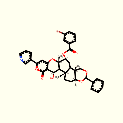 C[C@]12CC[C@@H]3OC(c4ccccc4)OC[C@@]3(C)C1C[C@H](OC(=O)c1cccc(Br)c1)[C@@]1(C)Oc3cc(-c4cccnc4)oc(=O)c3[C@H](O)C21